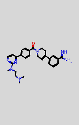 CN(C)CCN(C)c1nccc(-c2ccc(C(=O)N3CC=C(c4cccc(C(=N)N)c4)CC3)cc2)n1